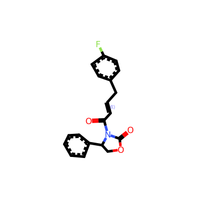 O=C(/C=C/Cc1ccc(F)cc1)N1C(=O)OCC1c1ccccc1